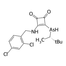 C[C@H]([AsH]c1c(NCc2ccc(Cl)cc2Cl)c(=O)c1=O)C(C)(C)C